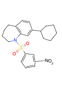 O=[N+]([O-])c1cccc(S(=O)(=O)N2CCCCc3ccc(C4CCCCC4)cc32)c1